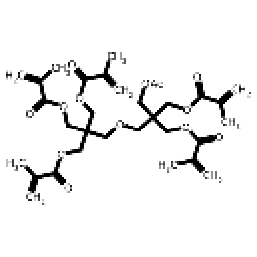 C=C(C)C(=O)OCC(COCC(COC(=O)C(=C)C)(COC(=O)C(=C)C)COC(=O)C(=C)C)(COC(C)=O)COC(=O)C(=C)C